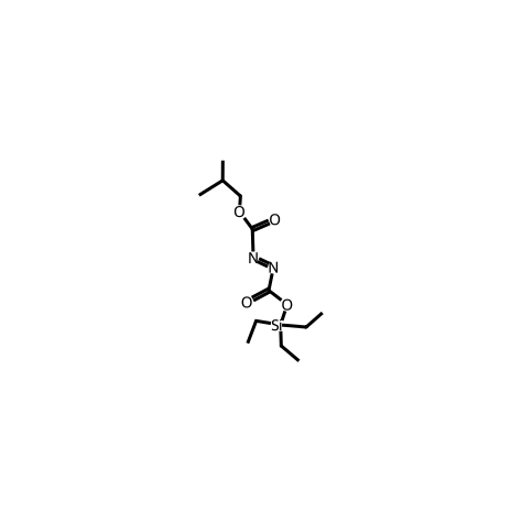 CC[Si](CC)(CC)OC(=O)N=NC(=O)OCC(C)C